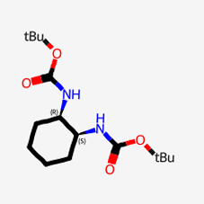 CC(C)(C)OC(=O)N[C@H]1CCCC[C@H]1NC(=O)OC(C)(C)C